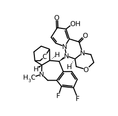 CN1Cc2c(ccc(F)c2F)[C@H](N2[C@@H]3COCCN3C(=O)c3c(O)c(=O)ccn32)[C@@H]2C3CCC(CC3)[C@H]21